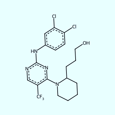 OCCCC1CCCCN1c1nc(Nc2ccc(Cl)c(Cl)c2)ncc1C(F)(F)F